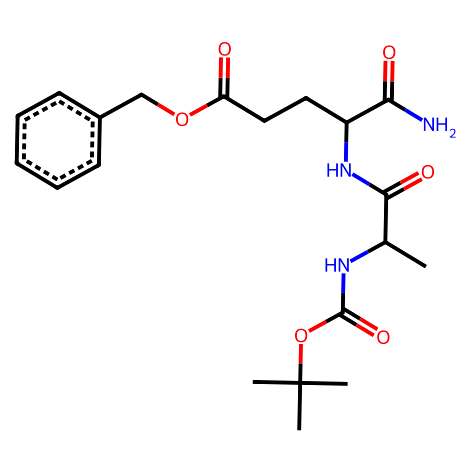 CC(NC(=O)OC(C)(C)C)C(=O)NC(CCC(=O)OCc1ccccc1)C(N)=O